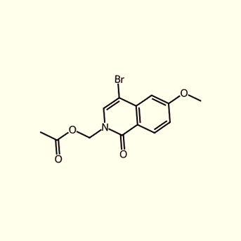 COc1ccc2c(=O)n(COC(C)=O)cc(Br)c2c1